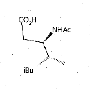 CC[C@@H](C)[C@@H](C)[C@@H](CC(=O)O)NC(C)=O